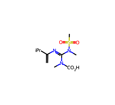 C=C(/N=C(\N(C)C(=O)O)N(C)S(C)(=O)=O)C(C)C